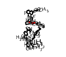 C#Cc1c(F)ccc2cc(OCOC)cc(-c3ncc4c(N5CC6CCC(C5)N6C(=O)OC(C)(C)C)nc(OC[C@@H]5CCCN5CCCOCCC(=O)N[C@H](C(=O)N5C[C@H](O)C[C@H]5C(=O)N[C@@H](C)c5ccc(-c6scnc6C)cc5)C(C)(C)C)nc4c3F)c12